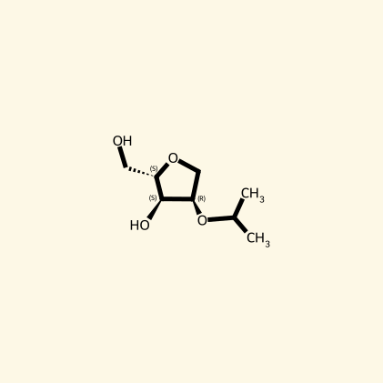 CC(C)O[C@@H]1CO[C@@H](CO)[C@@H]1O